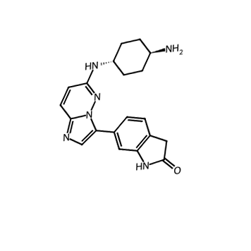 N[C@H]1CC[C@H](Nc2ccc3ncc(-c4ccc5c(c4)NC(=O)C5)n3n2)CC1